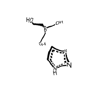 OB(O)O.c1c[nH]nn1